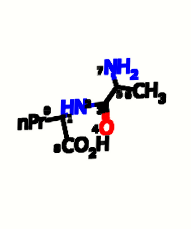 CCCC(NC(=O)C(C)N)C(=O)O